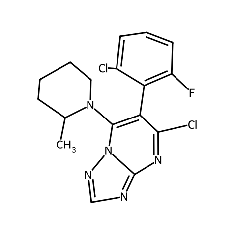 CC1CCCCN1c1c(-c2c(F)cccc2Cl)c(Cl)nc2ncnn12